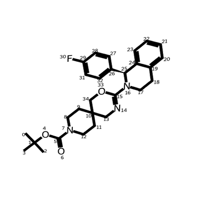 CC(C)(C)OC(=O)N1CCC2(CC1)CN=C(N1CCc3ccccc3[C@@H]1c1ccc(F)cc1)OC2